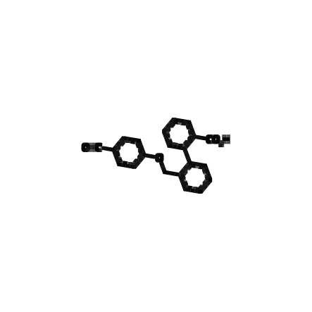 O=Cc1ccc(OCc2ccccc2-c2ccccc2C(=O)O)cc1